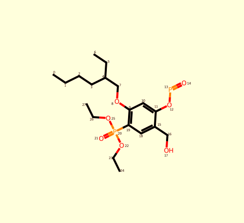 CCCCC(CC)COc1cc(OP=O)c(CO)cc1P(=O)(OCC)OCC